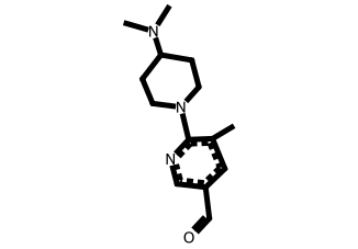 Cc1cc(C=O)cnc1N1CCC(N(C)C)CC1